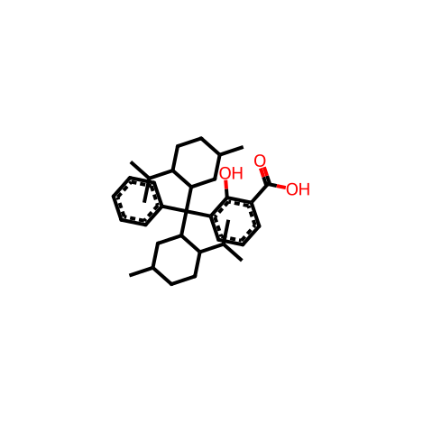 CC1CCC(C(C)C)C(C(c2ccccc2)(c2cccc(C(=O)O)c2O)C2CC(C)CCC2C(C)C)C1